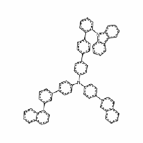 c1cc(-c2ccc(N(c3ccc(-c4ccc(-c5ccccc5-n5c6ccccc6c6ccccc65)cc4)cc3)c3ccc(-c4ccc5ccccc5c4)cc3)cc2)cc(-c2cccc3ccccc23)c1